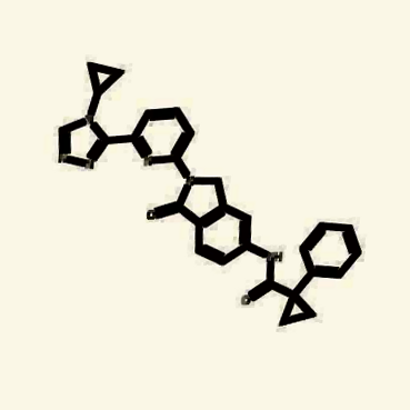 O=C1c2ccc(NC(=O)C3(c4ccccc4)CC3)cc2CN1c1cccc(-c2nncn2C2CC2)n1